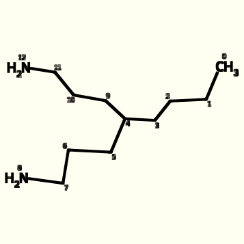 CCCCC(CCCN)CCCN